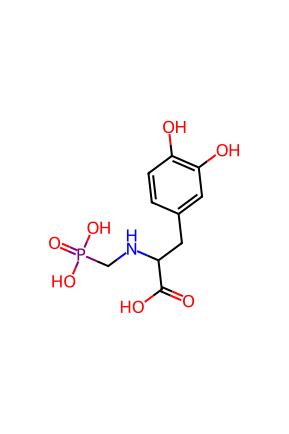 O=C(O)C(Cc1ccc(O)c(O)c1)NCP(=O)(O)O